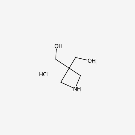 Cl.OCC1(CO)CNC1